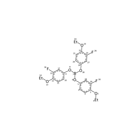 CCOc1ccc(OB(Oc2ccc(OCC)c(F)c2)Oc2ccc(OCC)c(F)c2)cc1F